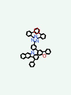 c1ccc(-c2ccccc2-c2nc(-c3ccc(-n4c5cc6ccccc6cc5c5c(-c6ccccc6)cccc54)c(-c4ccc5oc6ccccc6c5c4)c3)nc(-c3ccccc3-c3ccccc3)n2)cc1